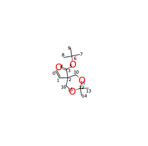 C=CC1(C(=O)OC(C)(C)C)COC(C)(C)OC1